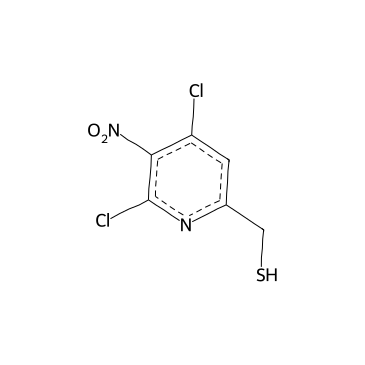 O=[N+]([O-])c1c(Cl)cc(CS)nc1Cl